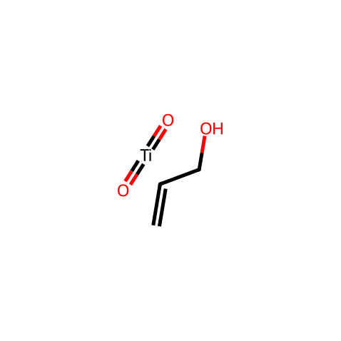 C=CCO.[O]=[Ti]=[O]